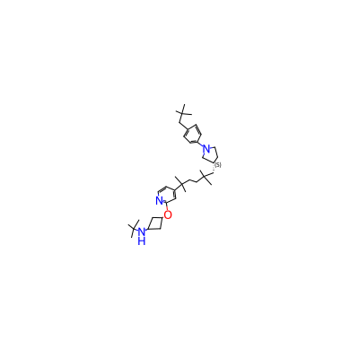 CC(C)(C)Cc1ccc(N2CC[C@H](CC(C)(C)CCC(C)(C)c3ccnc(O[C@H]4C[C@H](NC(C)(C)C)C4)c3)C2)cc1